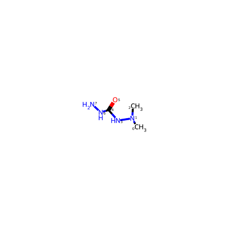 CN(C)NC(=O)NN